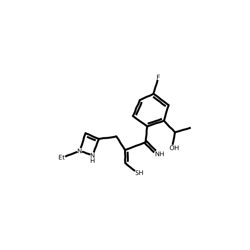 CCn1cc(C/C(=C/S)C(=N)c2ccc(F)cc2C(C)O)[nH]1